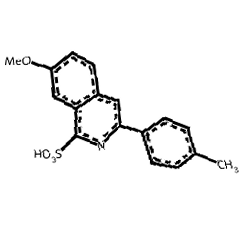 COc1ccc2cc(-c3ccc(C)cc3)nc(S(=O)(=O)O)c2c1